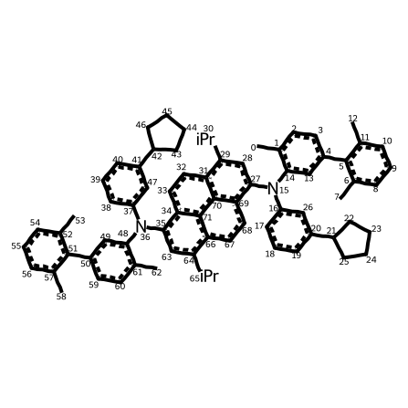 Cc1ccc(-c2c(C)cccc2C)cc1N(c1cccc(C2CCCC2)c1)c1cc(C(C)C)c2ccc3c(N(c4cccc(C5CCCC5)c4)c4cc(-c5c(C)cccc5C)ccc4C)cc(C(C)C)c4ccc1c2c43